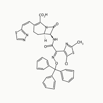 Cc1nc(/C(=N\OC(c2ccccc2)(c2ccccc2)c2ccccc2)C(=O)N[C@@H]2C(=O)N3C(C(=O)O)=C(/C=C\c4nncs4)CC[C@H]23)c(Cl)s1